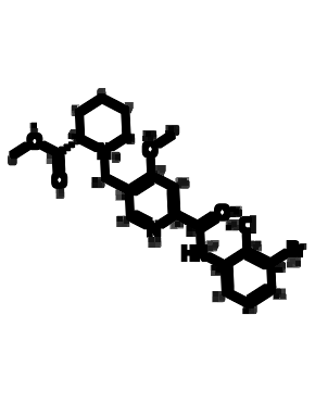 COC(=O)[C@@H]1CCCCN1Cc1cnc(C(=O)Nc2cccc(Br)c2Cl)cc1OC